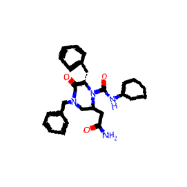 NC(=O)CC1CN(Cc2ccccc2)C(=O)[C@H](Cc2ccccc2)N1C(=O)NC1CCCCC1